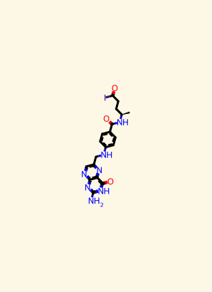 C[C@H](CCC(=O)I)NC(=O)c1ccc(NCc2cnc3nc(N)[nH]c(=O)c3n2)cc1